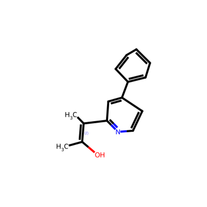 C/C(O)=C(\C)c1cc(-c2ccccc2)ccn1